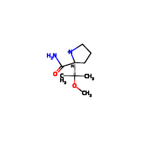 COC(C)(C)[C@@]1(C(N)=O)CCC[N]1